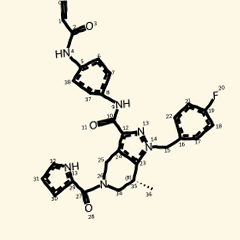 C=CC(=O)Nc1ccc(NC(=O)c2nn(Cc3ccc(F)cc3)c3c2CN(C(=O)c2ccc[nH]2)C[C@H]3C)cc1